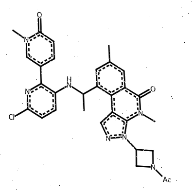 CC(=O)N1CC(n2ncc3c4c(C(C)Nc5ccc(Cl)nc5-c5ccc(=O)n(C)c5)cc(C)cc4c(=O)n(C)c32)C1